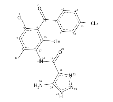 Cc1cc(Cl)c(C(=O)c2ccc(Cl)cc2)c(Cl)c1NC(=O)c1nn[nH]c1N